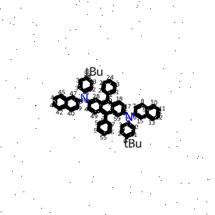 CC(C)(C)c1ccc(N(c2ccc3ccccc3c2)c2ccc3c(-c4ccccc4)c4cc(N(C5=CCC(C(C)(C)C)C=C5)c5ccc6ccccc6c5)ccc4c(-c4ccccc4)c3c2)cc1